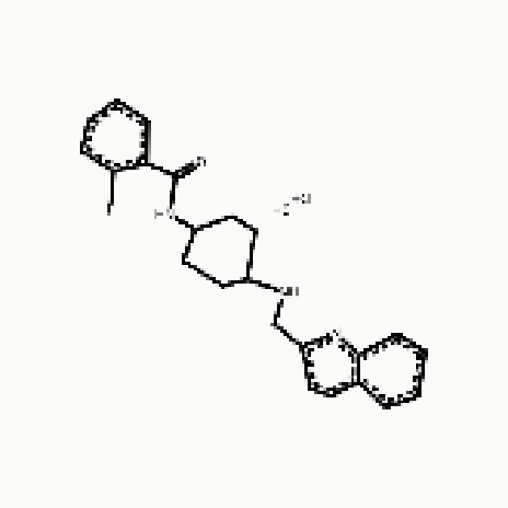 Cl.Cl.O=C(NC1CCC(NCc2ccc3ccccc3n2)CC1)c1ccccc1F